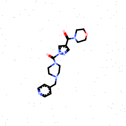 O=C(c1cnn(C(=O)N2CCN(Cc3ccncc3)CC2)c1)N1CCOCC1